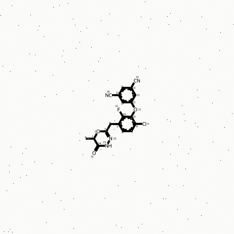 CC1OC(Cc2ccc(Cl)c(Oc3cc(C#N)cc(C#N)c3)c2F)=NNC1=O